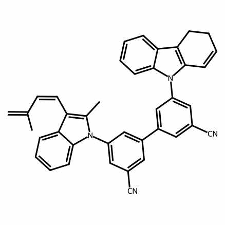 C=C(C)/C=C\c1c(C)n(-c2cc(C#N)cc(-c3cc(C#N)cc(-n4c5c(c6ccccc64)CCC=C5)c3)c2)c2ccccc12